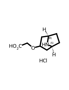 Cl.O=C(O)COC1C[C@H]2CC[C@@H](C1)N2